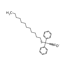 CCCCCCCCCCCCSC(C#[N+][O-])(c1ccccc1)c1ccccc1